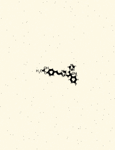 CC(O)Oc1ccc(/C=C/c2ncn(CC(O)(Cn3cncn3)c3ccc(F)cc3F)n2)cc1